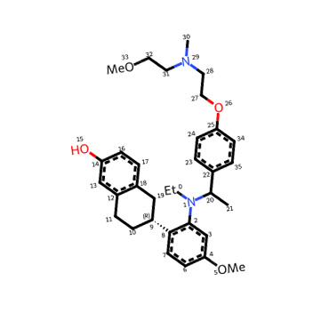 CCN(c1cc(OC)ccc1[C@@H]1CCc2cc(O)ccc2C1)C(C)c1ccc(OCCN(C)CCOC)cc1